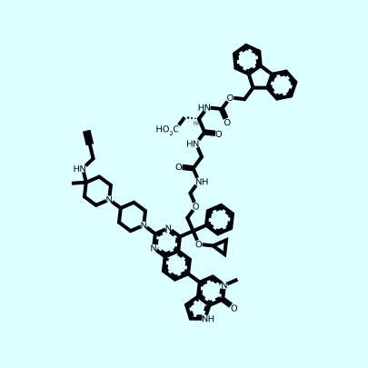 C#CCNC1(C)CCN(C2CCN(c3nc(C(COCNC(=O)CNC(=O)[C@H](CC(=O)O)NC(=O)OCC4c5ccccc5-c5ccccc54)(OC4CC4)c4ccccc4)c4cc(-c5cn(C)c(=O)c6[nH]ccc56)ccc4n3)CC2)CC1